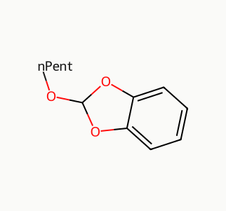 CCCCCOC1Oc2ccccc2O1